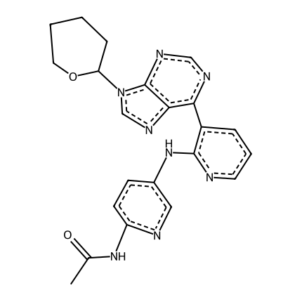 CC(=O)Nc1ccc(Nc2ncccc2-c2ncnc3c2ncn3C2CCCCO2)cn1